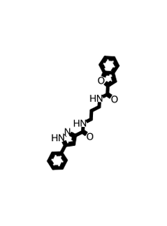 O=C(NCCCNC(=O)c1cc2ccccc2o1)c1cc(-c2ccccc2)[nH]n1